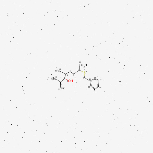 CCCC(C(O)C(CCC(SCc1ccccc1)C(=O)O)C(C)(C)C)C(C)(C)C